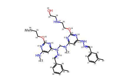 CCNc1cc(N(CN(CC)c2cc(N/N=C/c3cccc(C)c3)nc(OCCNCCO)n2)/N=C/c2cccc(C)c2)nc(OCCNC)n1